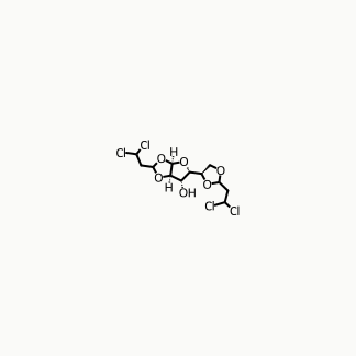 O[C@@H]1[C@H]2OC(CC(Cl)Cl)O[C@H]2O[C@@H]1[C@H]1COC(CC(Cl)Cl)O1